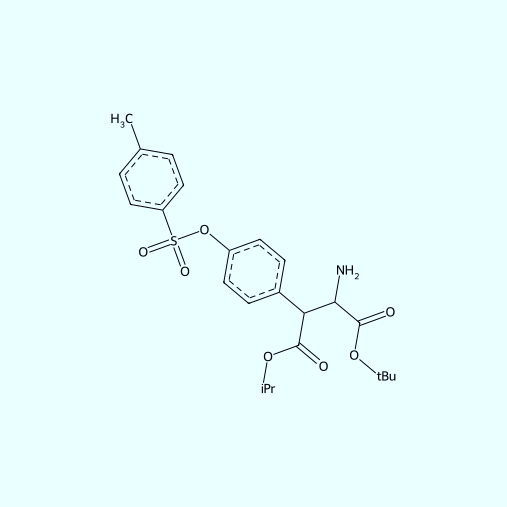 Cc1ccc(S(=O)(=O)Oc2ccc(C(C(=O)OC(C)C)C(N)C(=O)OC(C)(C)C)cc2)cc1